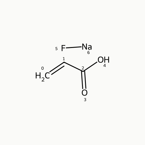 C=CC(=O)O.[F][Na]